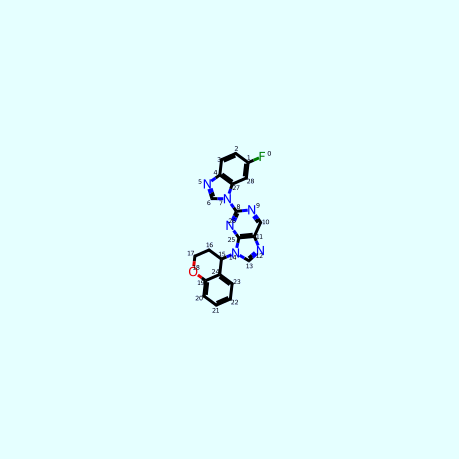 Fc1ccc2ncn(-c3ncc4ncn(C5CCOc6ccccc65)c4n3)c2c1